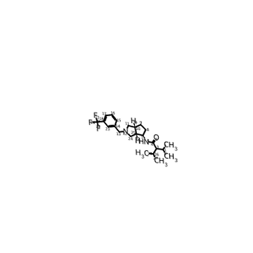 CC(C)C(C(=O)N[C@@H]1CC[C@H]2CN(Cc3cccc(C(F)(F)F)c3)C[C@H]21)C(C)C